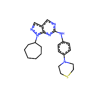 c1cc(N2CCSCC2)ccc1Nc1ncc2cnn(C3CCCCCC3)c2n1